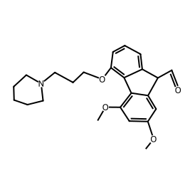 COc1cc(OC)c2c(c1)C(C=O)c1cccc(OCCCN3CCCCC3)c1-2